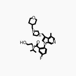 Cc1cncc2c1c(C[C@@H]1CCN(CC3CCOCC3)C1)cn2-c1ccc(F)cc1C(=O)N(CCO)C(C)C